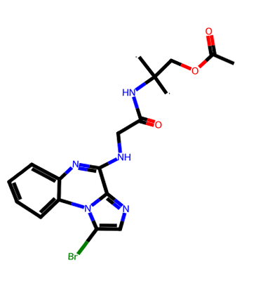 [CH2]C([CH2])(COC(C)=O)NC(=O)CNc1nc2ccccc2n2c(Br)cnc12